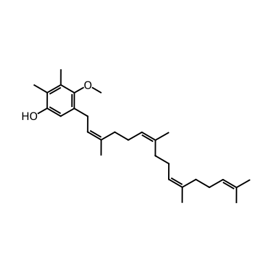 COc1c(CC=C(C)CCC=C(C)CCC=C(C)CCC=C(C)C)cc(O)c(C)c1C